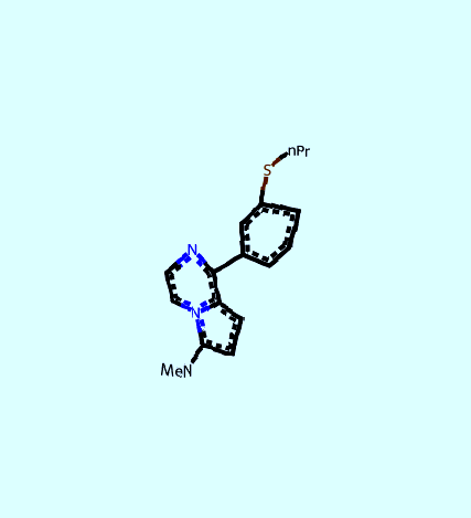 CCCSc1cccc(-c2nccn3c(NC)ccc23)c1